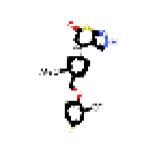 COc1cc([C@@H]2CC(=O)Sc3n[nH]cc32)ccc1COc1ccc(F)cc1C(F)(F)F